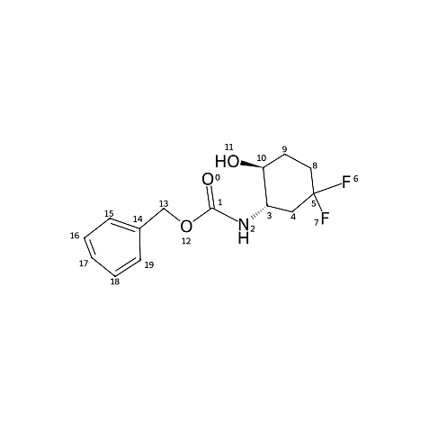 O=C(N[C@H]1CC(F)(F)CC[C@@H]1O)OCc1ccccc1